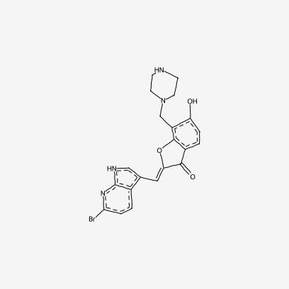 O=C1C(=Cc2c[nH]c3nc(Br)ccc23)Oc2c1ccc(O)c2CN1CCNCC1